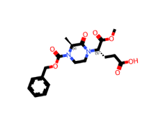 COC(=O)[C@H](CCC(=O)O)N1CCN(C(=O)OCc2ccccc2)[C@@H](C)C1=O